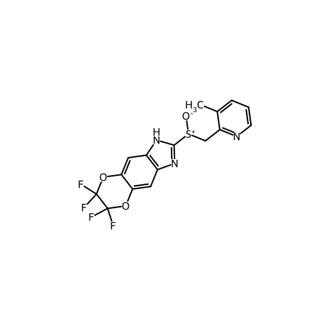 Cc1cccnc1C[S+]([O-])c1nc2cc3c(cc2[nH]1)OC(F)(F)C(F)(F)O3